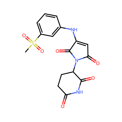 CS(=O)(=O)c1cccc(NC2=CC(=O)N(C3CCC(=O)NC3=O)C2=O)c1